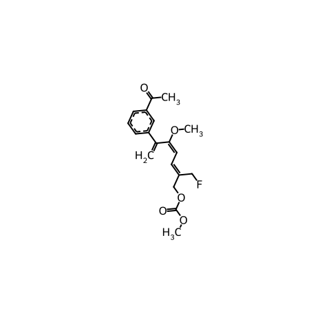 C=C(/C(=C\C=C(/CF)COC(=O)OC)OC)c1cccc(C(C)=O)c1